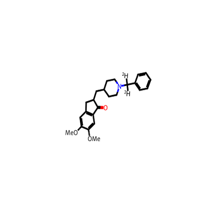 [2H]C([2H])(c1ccccc1)N1CCC(CC2Cc3cc(OC)c(OC)cc3C2=O)CC1